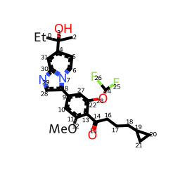 CCC(C)(O)c1ccn2c(-c3cc(OC)c(C(=O)CCCC4CC4)c(OC(F)F)c3)cnc2c1